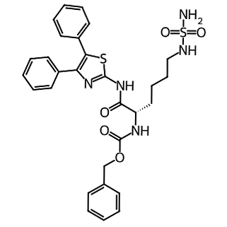 NS(=O)(=O)NCCCC[C@H](NC(=O)OCc1ccccc1)C(=O)Nc1nc(-c2ccccc2)c(-c2ccccc2)s1